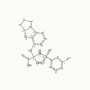 O=C(O)C(O)(NS(=O)(=O)c1cccc(F)c1)Oc1cccc2c1OC1CCCC21